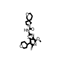 COc1nc(F)c(C2CCOCC2)c2sc(NC(=O)N3CCC4(CCCOC4)C3)nc12